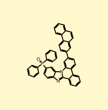 O=P(c1ccccc1)(c1ccccc1)c1ccc2nc3c4ccccc4c4ccc(-c5ccc6c(ccc7ccccc76)c5)cc4n3c2c1